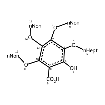 CCCCCCCCCOc1c(OCCCCCCC)c(O)c(C(=O)O)c(OCCCCCCCCC)c1OCCCCCCCCC